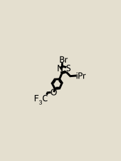 CC(C)Cc1sc(Br)nc1-c1ccc(OCC(F)(F)F)cc1